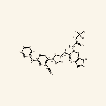 CC(C)(C)OC(=O)N[C@@H](Cc1cccs1)C(=O)N[C@H]1CCN(c2ccc(Oc3ccccc3)cc2C#N)C1